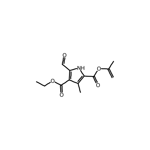 C=C(C)OC(=O)c1[nH]c(C=O)c(C(=O)OCC)c1C